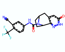 N#Cc1cc(NC(=O)N2C3CCC2c2n[nH]c(=O)cc2C3)ccc1C(F)(F)F